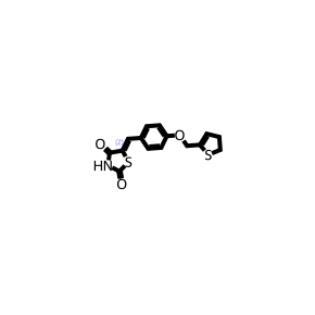 O=C1NC(=O)/C(=C/c2ccc(OCC3=CCCS3)cc2)S1